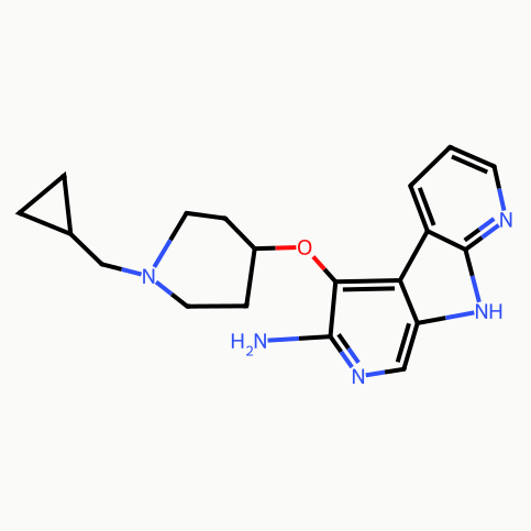 Nc1ncc2[nH]c3ncccc3c2c1OC1CCN(CC2CC2)CC1